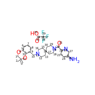 CC1(C)COc2cccc(CN3CCC4(CC3)CCN(C(=O)c3ccc(N)cn3)CC4)c2O1.O=C(O)C(F)(F)F